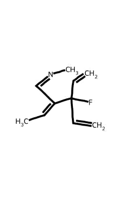 C=CC(F)(C=C)C(/C=N\C)=C/C